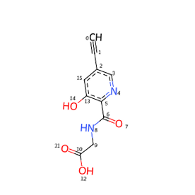 C#Cc1cnc(C(=O)NCC(=O)O)c(O)c1